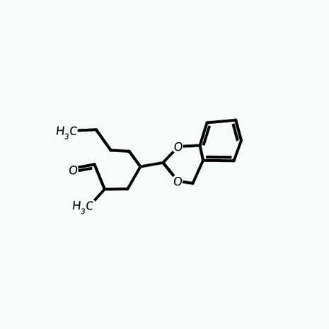 CCCCC(CC(C)C=O)C1OCc2ccccc2O1